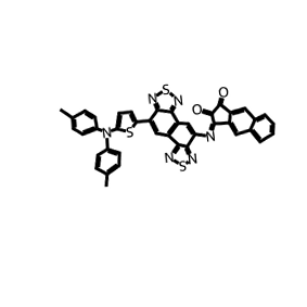 Cc1ccc(N(c2ccc(C)cc2)c2ccc(-c3cc4c(cc(/N=c5\c(=O)c(=O)c6cc7ccccc7cc56)c5nsnc54)c4nsnc34)s2)cc1